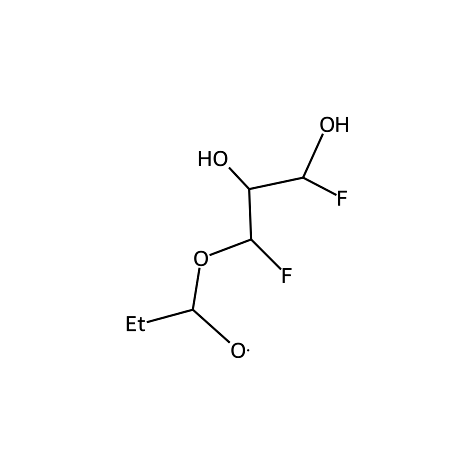 CCC([O])OC(F)C(O)C(O)F